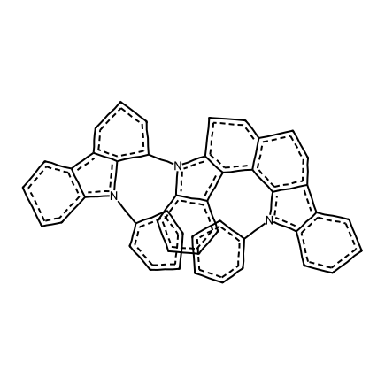 c1ccc(-n2c3ccccc3c3cccc(-n4c5ccccc5c5c6c(ccc7c8ccccc8n(-c8ccccc8)c76)ccc54)c32)cc1